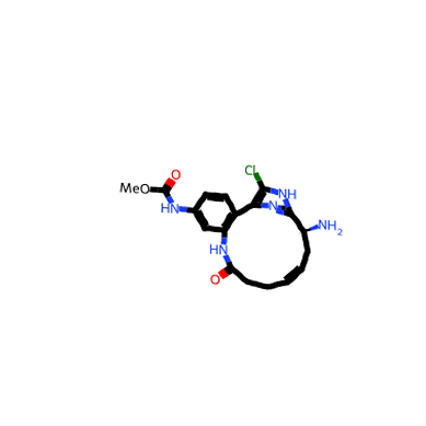 COC(=O)Nc1ccc2c(c1)NC(=O)CCC=CC[C@H](N)c1nc-2c(Cl)[nH]1